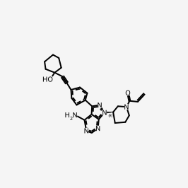 C=CC(=O)N1CCC[C@@H](n2nc(-c3ccc(C#CC4(O)CCCCC4)cc3)c3c(N)ncnc32)C1